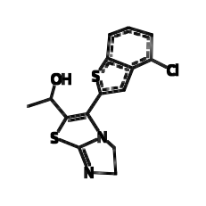 CC(O)C1=C(c2cc3c(Cl)cccc3s2)N2CCN=C2S1